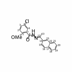 COc1ccc(Cl)cc1C(=O)N/N=C(\C)c1ccc2ccccc2c1